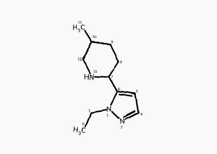 CCn1nccc1C1CCC(C)CN1